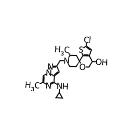 Cc1cn2nc(CN3CC[C@]4(C[C@@H]3C)OCC(O)c3cc(Cl)sc34)cc2c(NC2CC2)n1